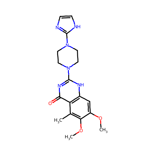 COc1cc2[nH]c(N3CCN(c4ncc[nH]4)CC3)nc(=O)c2c(C)c1OC